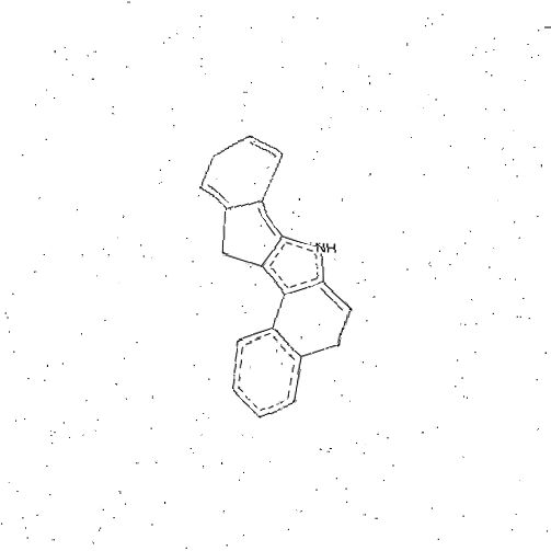 C1=CC2=c3[nH]c4c(c3CC2=CC1)-c1ccccc1CC=4